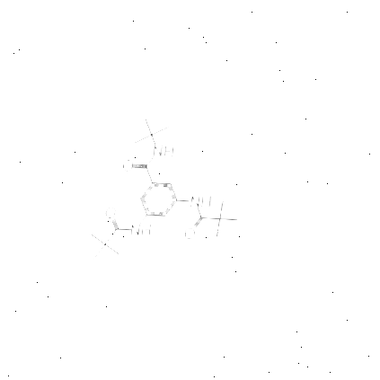 CC(C)(C)NC(=O)c1cc(NC(=O)C(C)(C)C)cc(NC(=O)C(C)(C)C)c1